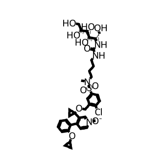 CN(CCCCNC(=O)N[C@@H](CO)[C@@H](O)[C@H](O)[C@H](O)CO)S(=O)(=O)c1ccc(Cl)c(COC2(c3c[n+]([O-])ccc3-c3ccccc3OC3CC3)CC2)c1